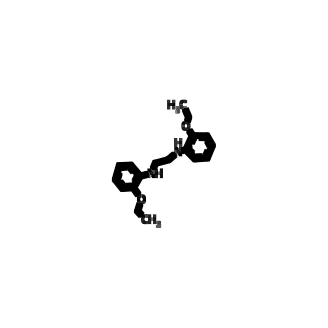 CCOc1ccccc1NCCNc1ccccc1OCC